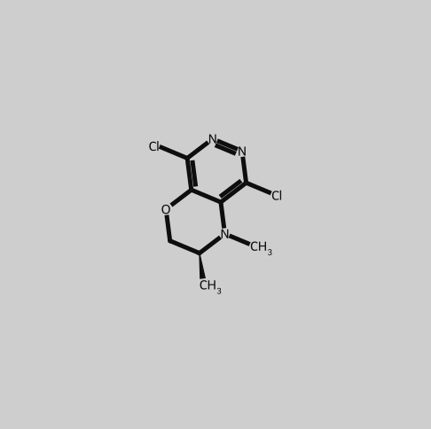 C[C@H]1COc2c(Cl)nnc(Cl)c2N1C